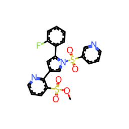 COS(=O)(=O)c1cccnc1-c1cc(-c2ccccc2F)n(S(=O)(=O)c2cccnc2)c1